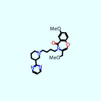 COCC1=COc2ccc(OC)cc2C(=O)N1CCCCN1CCCC(c2ncccn2)C1